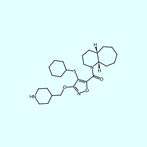 O=C(c1onc(OCC2CCNCC2)c1SC1CCCCC1)N1CCC[C@@H]2CCCCC[C@@H]21